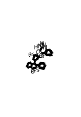 Brc1cc(-c2c3ccccc3c(Br)c3sc4ccccc4c23)cc(Br)c1O[C@H](Cc1ccccc1)c1nnn[nH]1